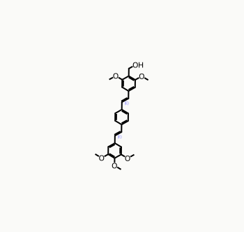 COc1cc(/C=C/c2ccc(/C=C/c3cc(OC)c(OC)c(OC)c3)cc2)cc(OC)c1CO